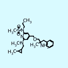 CCCN(c1cc(COCC(C)(N)Cc2ccccc2)cc(N(C)CC2CC2C)n1)S(C)(=O)=O